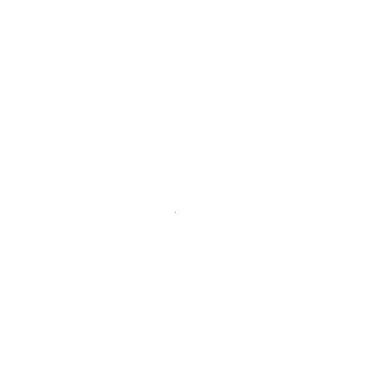 O=CON1CCC(c2ccccc2)CC1